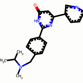 CC(C)N(C)Cc1ccc(-c2nc(-c3cccnc3)cc(=O)[nH]2)cc1